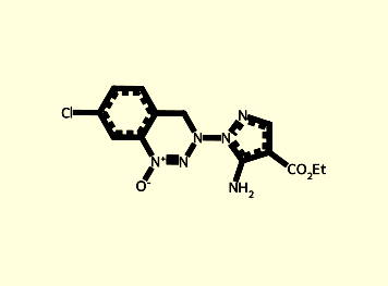 CCOC(=O)c1cnn(N2Cc3ccc(Cl)cc3[N+]([O-])=N2)c1N